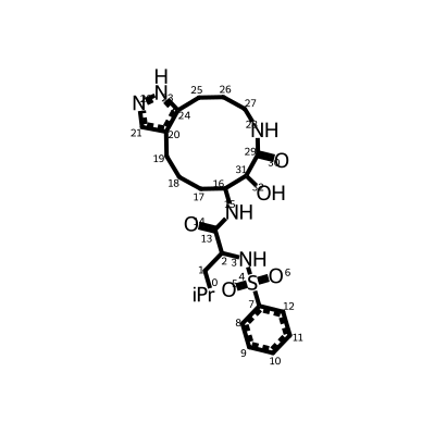 CC(C)CC(NS(=O)(=O)c1ccccc1)C(=O)NC1CCCc2cn[nH]c2CCCNC(=O)C1O